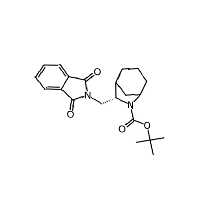 CC(C)(C)OC(=O)N1C2CCCC(C2)[C@H]1CN1C(=O)c2ccccc2C1=O